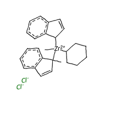 C[C]1([Zr+2]([CH3])([CH]2CCCCC2)[CH]2C=Cc3ccccc32)C=Cc2ccccc21.[Cl-].[Cl-]